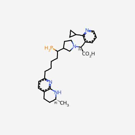 C[C@@H]1CCc2ccc(CCCCC(P)C3CCN([C@H](C(=O)O)c4cccnc4C4CC4)C3)nc2N1